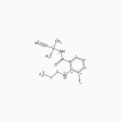 C#CC(C)(C)NC(=O)c1cccc(F)c1[AsH]CCC(F)(F)F